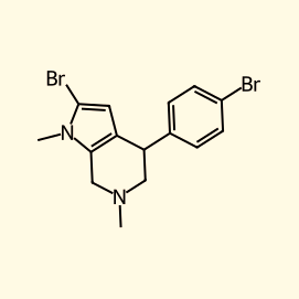 CN1Cc2c(cc(Br)n2C)C(c2ccc(Br)cc2)C1